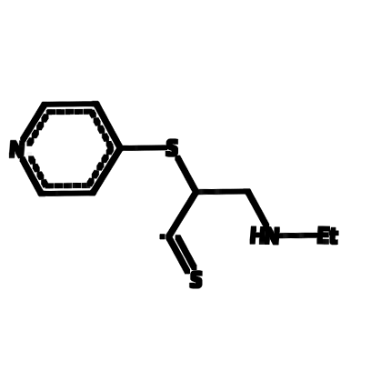 CCNCC([C]=S)Sc1ccncc1